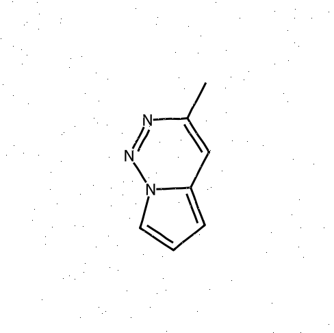 Cc1cc2cccn2nn1